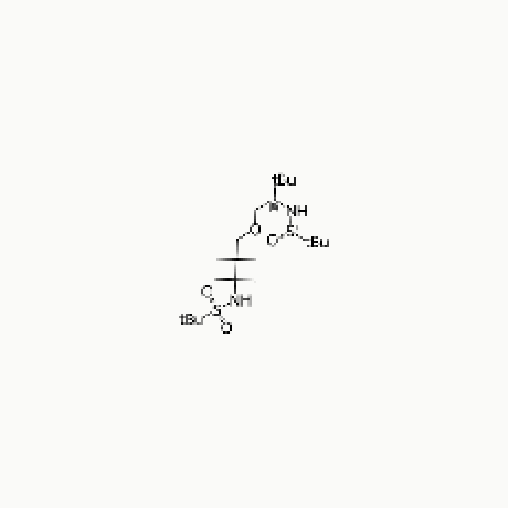 CC(C)(C)[C@H](COCC(C)(C)C(C)(C)NS(=O)(=O)C(C)(C)C)N[S+]([O-])C(C)(C)C